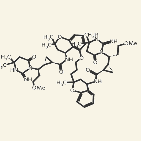 COCC[C@H]([C@@H]1C[C@H]1C(=O)NC1CC(C)(CCCOc2cccc3c2[C@@H](NC(=O)[C@@H]2C[C@H]2[C@@H](CCOC)N2C(=N)NC(C)(C)CC2=O)CC(C)(C)O3)Oc2ccccc21)N1C(=N)NC(C)(C)CC1=O